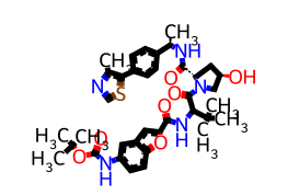 Cc1ncsc1-c1ccc([C@H](C)NC(=O)[C@@H]2C[C@@H](O)CN2C(=O)C(NC(=O)c2cc3cc(NC(=O)OC(C)(C)C)ccc3o2)C(C)(C)C)cc1